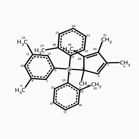 CC1=[C]C(C)([Si](c2cc(C)cc(C)c2)(c2ccccc2C)c2ccccc2C)C(C)=C1C